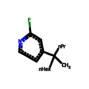 CCCCCCC(C)(CCC)c1ccnc(F)c1